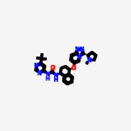 CN1CCC[C@H]1c1nnc2ccc(O[C@@H]3CC[C@H](NC(=O)Nc4cc(C(C)(C)C)ncn4)c4ccccc43)cn12